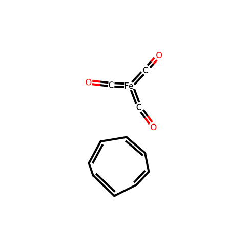 C1=CC=CC=CC=C1.O=[C]=[Fe](=[C]=O)=[C]=O